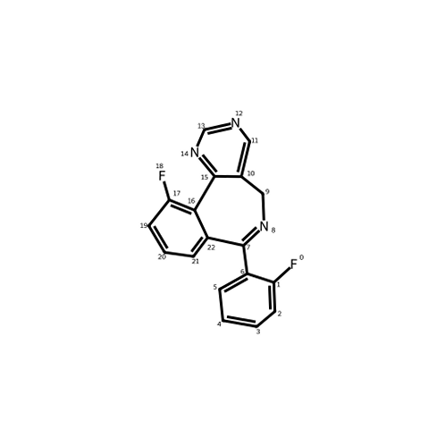 Fc1ccccc1C1=NCc2cncnc2-c2c(F)cccc21